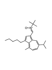 CCCCCc1cc(C=[N+]([O-])C(C)(C)C)c2cc(C(C)C)ccc(C)c1-2